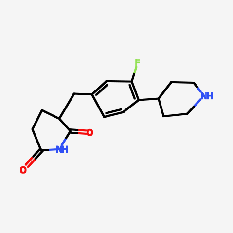 O=C1CCC(Cc2ccc(C3CCNCC3)c(F)c2)C(=O)N1